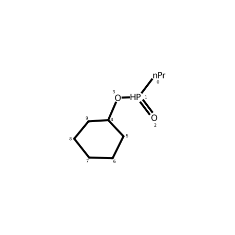 CCC[PH](=O)OC1CCCCC1